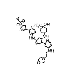 CC1(O)CCC(Nc2cc(Nc3ccnc(-c4cnn(S(=O)(=O)C5CC5)c4)n3)ncc2-c2cc(NCCN3CCOCC3)ccn2)CC1